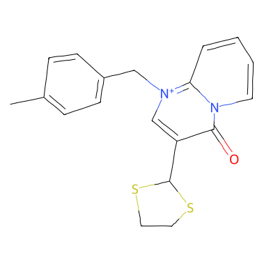 Cc1ccc(C[n+]2cc(C3SCCS3)c(=O)n3ccccc32)cc1